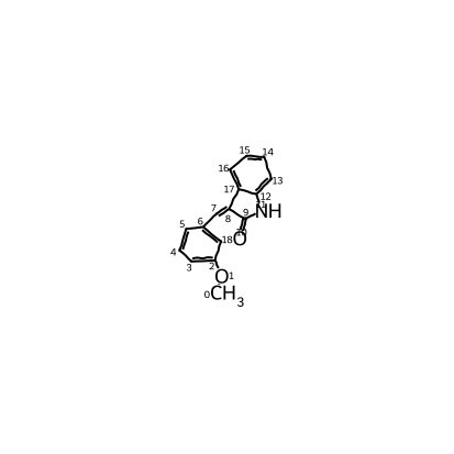 COc1cccc(C=C2C(=O)Nc3ccccc32)c1